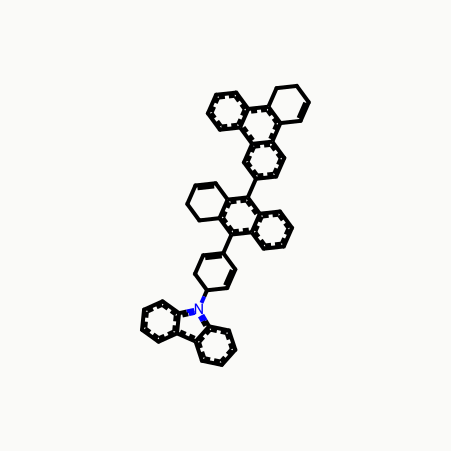 C1=Cc2c(c(C3=CCC(n4c5ccccc5c5ccccc54)C=C3)c3ccccc3c2-c2ccc3c4c(c5ccccc5c3c2)CCC=C4)CC1